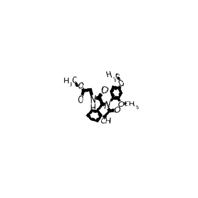 C#CC(=O)N(c1ccc(OC)cc1OC)C(C(=O)NCC(=O)OCC)c1ccccc1